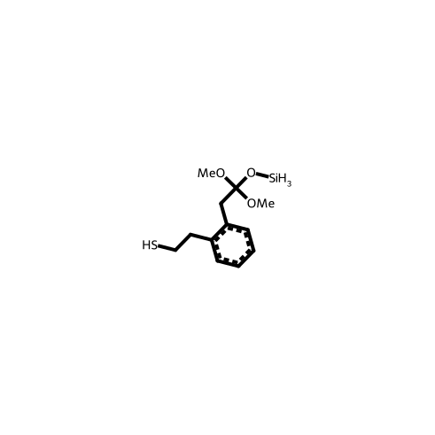 COC(Cc1ccccc1CCS)(OC)O[SiH3]